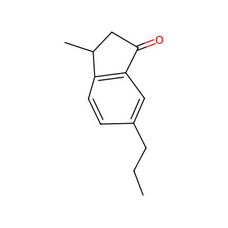 CCCc1ccc2c(c1)C(=O)CC2C